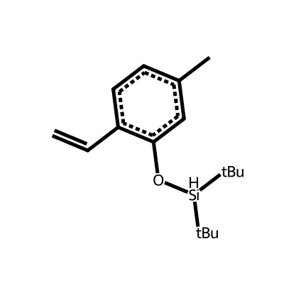 C=Cc1ccc(C)cc1O[SiH](C(C)(C)C)C(C)(C)C